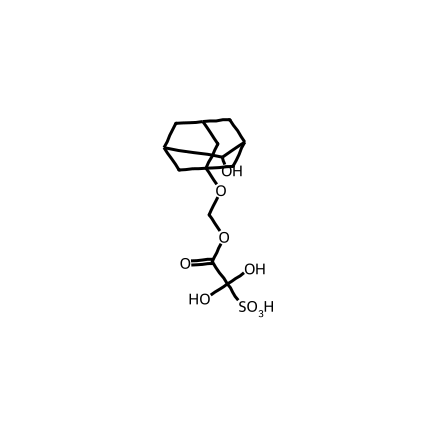 O=C(OCOC12CC3CC(C1)C(O)C(C3)C2)C(O)(O)S(=O)(=O)O